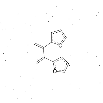 C=C(C(=C)c1ccco1)c1ccco1